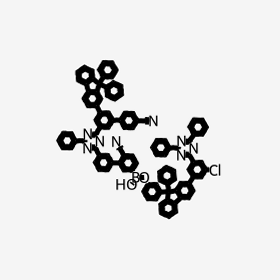 N#Cc1ccc(-c2cc(-c3ccc4c(c3)C(c3ccccc3)(c3ccccc3)c3ccccc3-4)cc(-c3nc(-c4ccccc4)nc(-c4cccc(-c5cc(B(O)Oc6cccc(C7(c8ccccc8)c8ccccc8-c8ccc(-c9cc(Cl)cc(-c%10nc(-c%11ccccc%11)nc(-c%11ccccc%11)n%10)c9)cc87)c6)ccc5C#N)c4)n3)c2)cc1